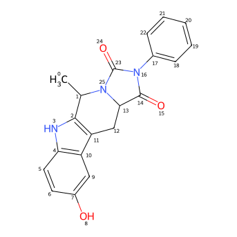 CC1c2[nH]c3ccc(O)cc3c2CC2C(=O)N(c3ccccc3)C(=O)N21